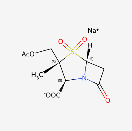 CC(=O)OC[C@@]1(C)[C@H](C(=O)[O-])N2C(=O)C[C@H]2S1(=O)=O.[Na+]